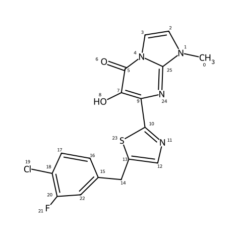 Cn1ccn2c(=O)c(O)c(-c3ncc(Cc4ccc(Cl)c(F)c4)s3)nc12